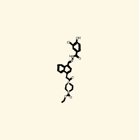 CCOC(=O)N1CCN(C(=O)Cc2ccc(/C=N/NC(=O)c3ccc(O)c(Cl)c3)c3ccccc23)CC1